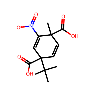 CC1(C(=O)O)C=CC(C(=O)O)(C(C)(C)C)C=C1[N+](=O)[O-]